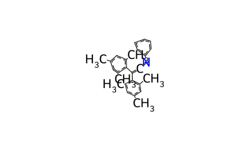 Cc1cc(C)c(C(=C=Nc2ccccc2)c2c(C)cc(C)cc2C)c(C)c1